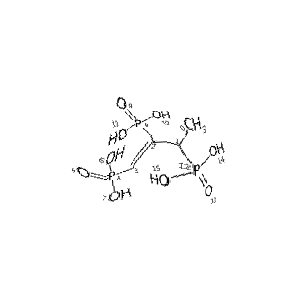 CC(/C(=C/P(=O)(O)O)P(=O)(O)O)P(=O)(O)O